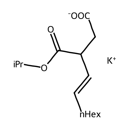 CCCCCCC=CC(CC(=O)[O-])C(=O)OC(C)C.[K+]